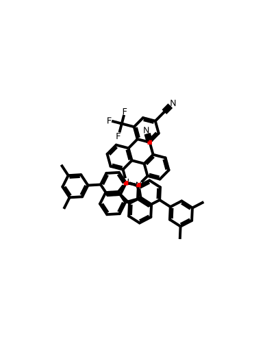 Cc1cc(C)cc(-c2ccc3c(c2)c2ccccc2n3-c2cccc(C#N)c2-c2c(-c3ccc(C#N)cc3C(F)(F)F)cccc2-n2c3ccccc3c3cc(-c4cc(C)cc(C)c4)ccc32)c1